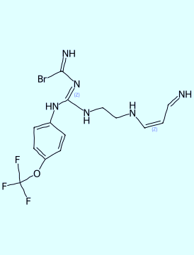 N=C/C=C\NCCN/C(=N/C(=N)Br)Nc1ccc(OC(F)(F)F)cc1